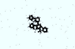 CC1(C)c2ccccc2-c2cc3c4cccc5c6ccccc6n(c6cccc7[nH]c(c21)c3c76)c45